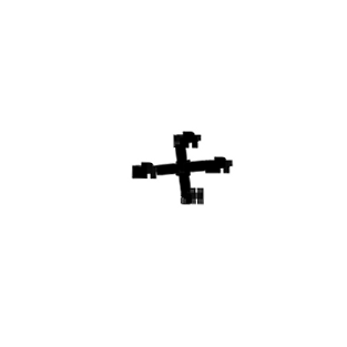 CCC[Si](S)(CCC)CCC